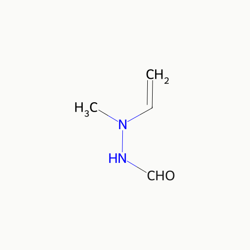 C=CN(C)NC=O